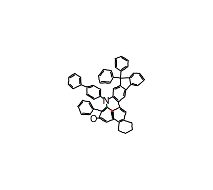 c1ccc(-c2ccc(N(c3cc4c(cc3-c3ccc5c(c3)CCCC5)-c3ccccc3C4(c3ccccc3)c3ccccc3)c3cccc4oc5ccccc5c34)cc2)cc1